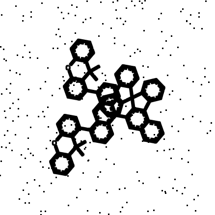 CC1(C)c2ccccc2Oc2cccc(-c3cccc4c(-c5cc6ccccc6c6c5C5(c7ccccc7-c7ccccc75)c5ccccc5-6)c5cccc(-c6cccc7c6C(C)(C)c6ccccc6O7)c5cc34)c21